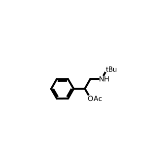 CC(=O)OC(CNC(C)(C)C)c1ccccc1